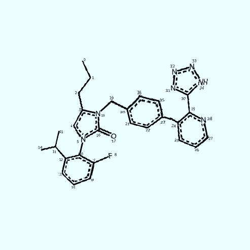 CCCc1cn(-c2c(F)cccc2C(C)C)c(=O)n1Cc1ccc(-c2cccnc2-c2nnn[nH]2)cc1